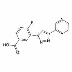 O=C(O)c1ccc(F)c(-n2cc(-c3cccnc3)nn2)c1